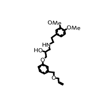 C=CCOCc1cccc(OCC(O)CNCCc2ccc(OC)c(OC)c2)c1